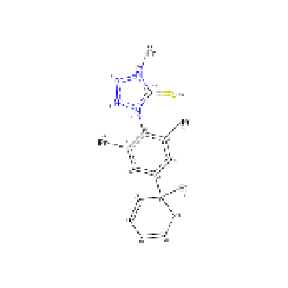 CCC1(c2cc(C(C)C)c(-n3nnn(C(C)C)c3=S)c(C(C)C)c2)C=CC=CC1